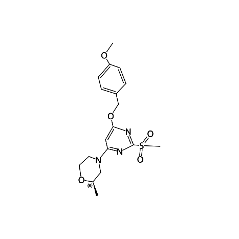 COc1ccc(COc2cc(N3CCO[C@H](C)C3)nc(S(C)(=O)=O)n2)cc1